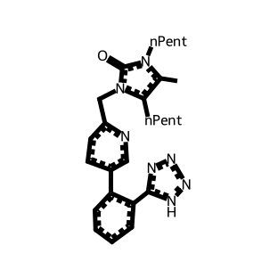 CCCCCc1c(C)n(CCCCC)c(=O)n1Cc1ccc(-c2ccccc2-c2nnn[nH]2)cn1